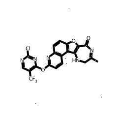 CC1=NC(=O)c2oc3ccc4nc(Oc5nc(Cl)ncc5C(F)(F)F)ccc4c3c2NC1